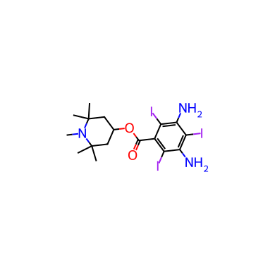 CN1C(C)(C)CC(OC(=O)c2c(I)c(N)c(I)c(N)c2I)CC1(C)C